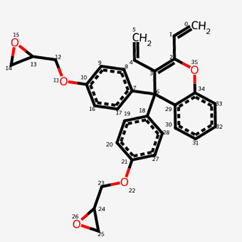 C=CC1=C(C=C)C(c2ccc(OCC3CO3)cc2)(c2ccc(OCC3CO3)cc2)c2ccccc2O1